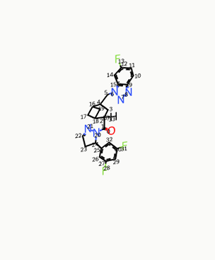 O=C([C@H]1CC(Cn2nnc3ccc(F)cc32)C2CC1C2)N1N=CCC1c1cc(F)cc(F)c1